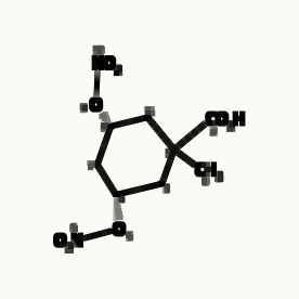 CC1(C(=O)O)C[C@H](O[N+](=O)[O-])C[C@H](O[N+](=O)[O-])C1